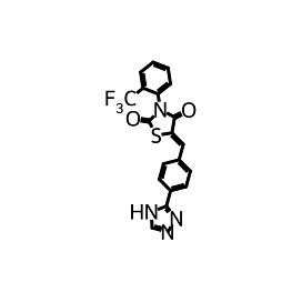 O=C1S/C(=C\c2ccc(-c3nnc[nH]3)cc2)C(=O)N1c1ccccc1C(F)(F)F